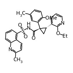 CCOc1ncccc1[C@@H]1C[C@]1(C(=O)NS(=O)(=O)c1cccc2nc(C)ccc12)c1cc(C)ccc1OC